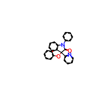 O=C1N(c2ccccc2)c2ccccc2C1(Oc1ccccc1)c1ccccn1